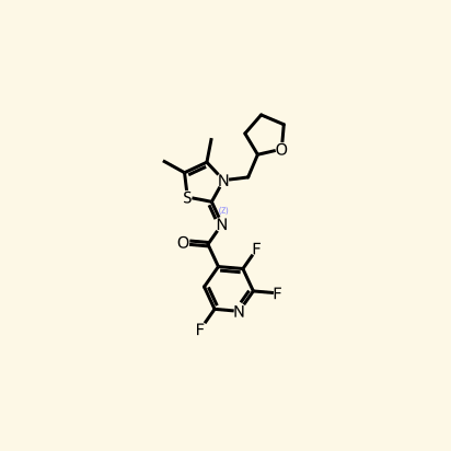 Cc1s/c(=N\C(=O)c2cc(F)nc(F)c2F)n(CC2CCCO2)c1C